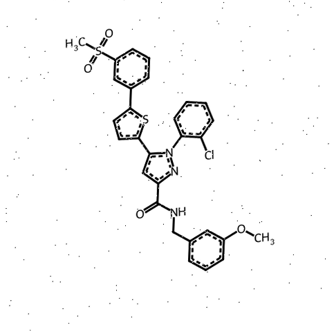 COc1cccc(CNC(=O)c2cc(-c3ccc(-c4cccc(S(C)(=O)=O)c4)s3)n(-c3ccccc3Cl)n2)c1